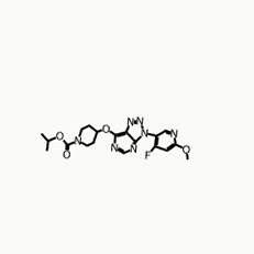 COc1cc(F)c(-n2nnc3c(OC4CCN(C(=O)OC(C)C)CC4)ncnc32)cn1